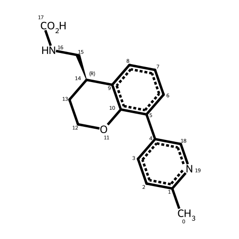 Cc1ccc(-c2cccc3c2OCC[C@H]3CNC(=O)O)cn1